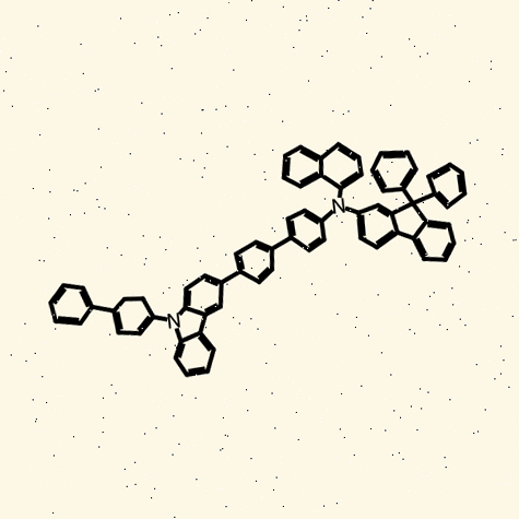 C1=C(c2ccccc2)CCC(n2c3ccccc3c3cc(-c4ccc(-c5ccc(N(c6ccc7c(c6)C(c6ccccc6)(c6ccccc6)c6ccccc6-7)c6cccc7ccccc67)cc5)cc4)ccc32)=C1